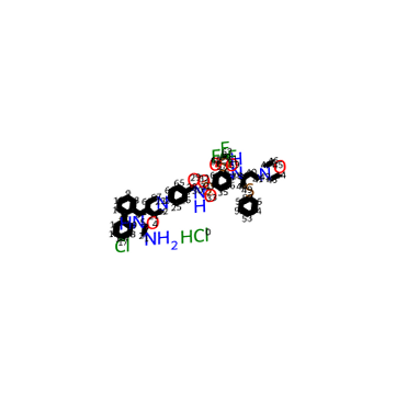 Cl.NCC(=O)N[C@@H](c1ccccc1-c1ccc(Cl)cc1)C1CCN(c2ccc(C(=O)NS(=O)(=O)c3ccc(NC(CCN4CCOCC4)CSc4ccccc4)c(S(=O)(=O)C(F)(F)F)c3)cc2)CC1